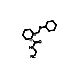 N#CCNC(=O)[C@@H]1CCCC[C@H]1CSC1CCCCC1